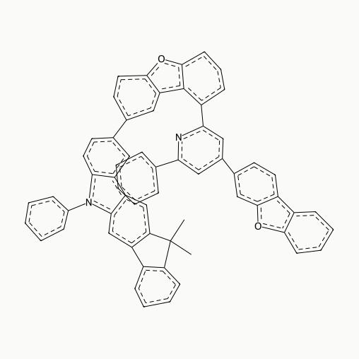 CC1(C)c2ccccc2-c2cc3c(cc21)c1cc(-c2ccc4oc5cccc(-c6cc(-c7ccc8c(c7)oc7ccccc78)cc(-c7ccccc7)n6)c5c4c2)ccc1n3-c1ccccc1